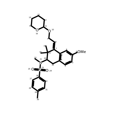 COc1ccc2c(c1)C(=CCOC1CCCCO1)C(C)(C)C(N(C)S(=O)(=O)c1ccc(C)cc1)C2